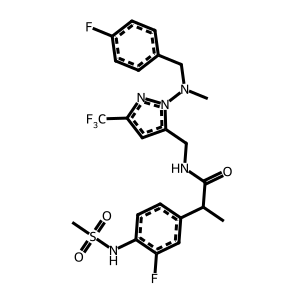 CC(C(=O)NCc1cc(C(F)(F)F)nn1N(C)Cc1ccc(F)cc1)c1ccc(NS(C)(=O)=O)c(F)c1